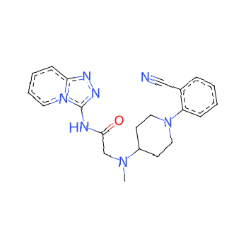 CN(CC(=O)Nc1nnc2ccccn12)C1CCN(c2ccccc2C#N)CC1